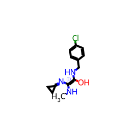 CN/C(N=C1CC1)=C(\O)NCc1ccc(Cl)cc1